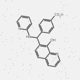 O=C(O)c1ccc(C(Nc2ccccn2)c2ccc3cccnc3c2O)cc1